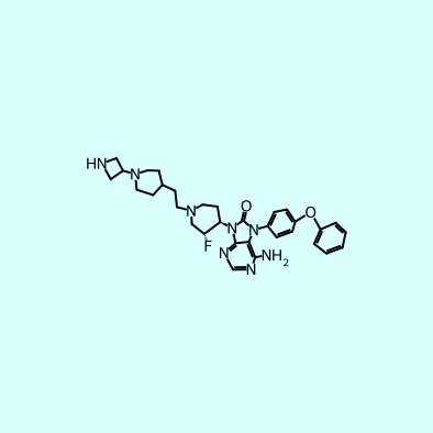 Nc1ncnc2c1n(-c1ccc(Oc3ccccc3)cc1)c(=O)n2[C@@H]1CCN(CCC2CCN(C3CNC3)CC2)C[C@H]1F